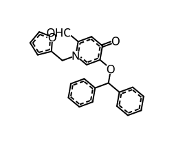 O=Cc1cc(=O)c(OC(c2ccccc2)c2ccccc2)cn1Cc1ccco1